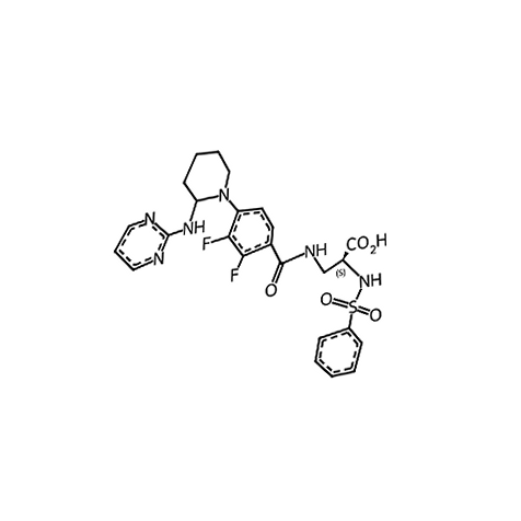 O=C(NC[C@H](NS(=O)(=O)c1ccccc1)C(=O)O)c1ccc(N2CCCCC2Nc2ncccn2)c(F)c1F